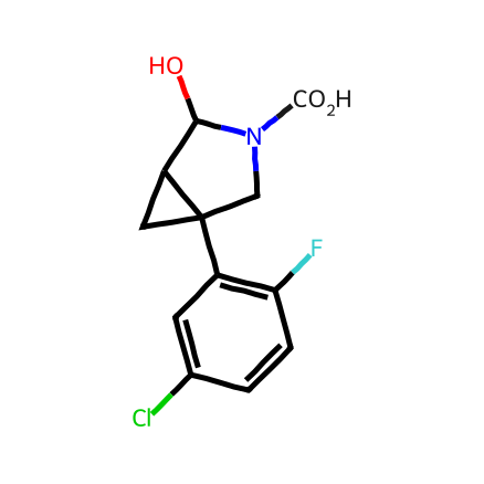 O=C(O)N1CC2(c3cc(Cl)ccc3F)CC2C1O